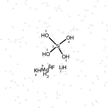 F.O[Si](O)(O)O.[KH].[LiH].[MgH2]